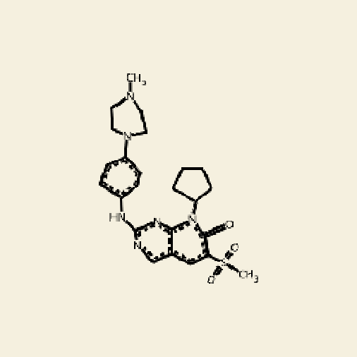 CN1CCN(c2ccc(Nc3ncc4cc(S(C)(=O)=O)c(=O)n(C5CCCC5)c4n3)cc2)CC1